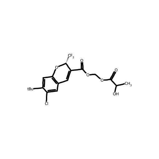 CC(O)C(=O)OCOC(=O)C1=Cc2cc(Cl)c(C(C)(C)C)cc2O[C@@H]1C(F)(F)F